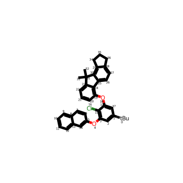 CC(C)(C)c1cc(Oc2ccc3ccccc3c2)c(Cl)c(Oc2cccc3c2-c2ccc4c(c2C3(C)C)CCC4)c1